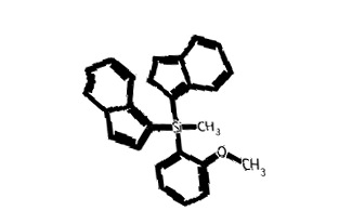 COc1ccccc1[Si](C)(C1=C2C=CC=CC2C=C1)C1=c2ccccc2=CC1